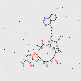 CC[C@H]1OC(=O)[C@H](C)C(=O)[C@H](C)[C@@H](OC2O[C@H](C)C[C@H](N(C)C)[C@H]2O)[C@@](C)(OC)C[C@@H](C)C(=O)[C@H](C)[C@H]2N(CCCCc3ccnc4ccccc34)C(=O)O[C@]12CC